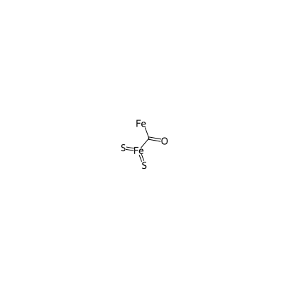 O=[C]([Fe])[Fe](=[S])=[S]